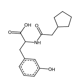 O=C(CC1CCCC1)NC(Cc1cccc(O)c1)C(=O)O